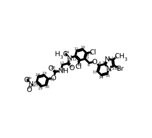 Cc1nc2c(OCc3c(Cl)ccc(N(C)C(=O)CNC(=O)Oc4ccc([N+](=O)[O-])cc4)c3Cl)cccn2c1Br